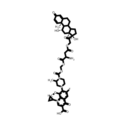 COc1c(N2CCN(C(=O)OCOC(=O)C(N)CC(=O)OCC(=O)[C@@]3(O)CCC4C5CCC6=CC(=O)C=C[C@]6(C)C5[C@@H](O)C[C@@]43C)C(C)C2)c(F)cc2c(=O)c(C(=O)O)cn(C3CC3)c12